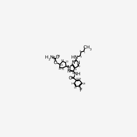 CCCCNc1ncc2c(NC(=O)c3ccc(F)cc3)nn(C3CCC(OC(N)=O)CC3)c2n1